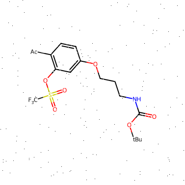 CC(=O)c1ccc(OCCCNC(=O)OC(C)(C)C)cc1OS(=O)(=O)C(F)(F)F